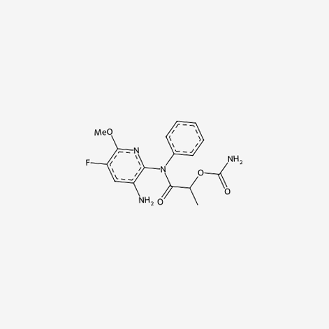 COc1nc(N(C(=O)C(C)OC(N)=O)c2ccccc2)c(N)cc1F